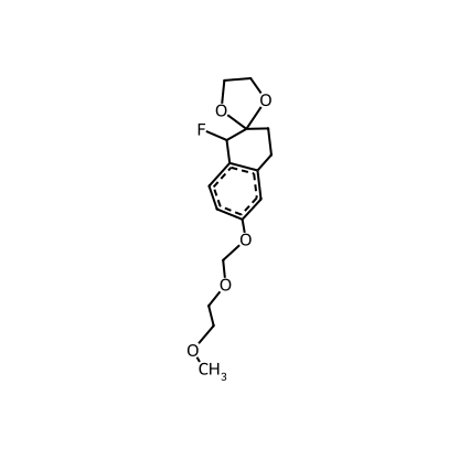 COCCOCOc1ccc2c(c1)CCC1(OCCO1)C2F